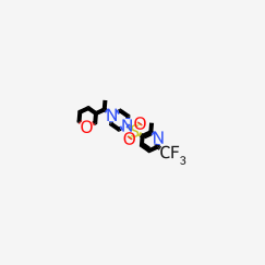 Cc1nc(C(F)(F)F)ccc1S(=O)(=O)N1CCN(C(C)C2CCCOC2)CC1